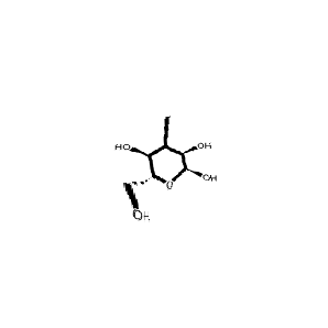 CC1[C@@H](O)[C@@H](O)O[C@H](CO)[C@H]1O